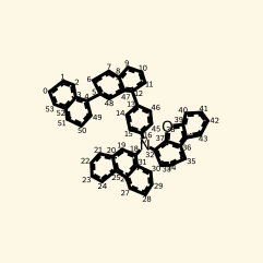 c1ccc2c(-c3ccc4cccc(-c5ccc(N(c6cc7ccccc7c7ccccc67)c6cccc7c6oc6ccccc67)cc5)c4c3)cccc2c1